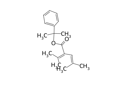 CC(C)=CC(C(=O)OC(C)(C)c1ccccc1)=C(C)C